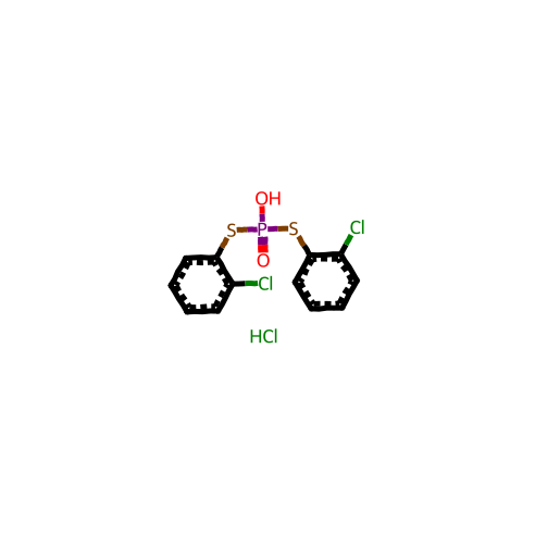 Cl.O=P(O)(Sc1ccccc1Cl)Sc1ccccc1Cl